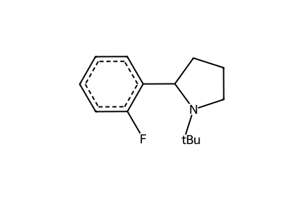 CC(C)(C)N1CCCC1c1ccccc1F